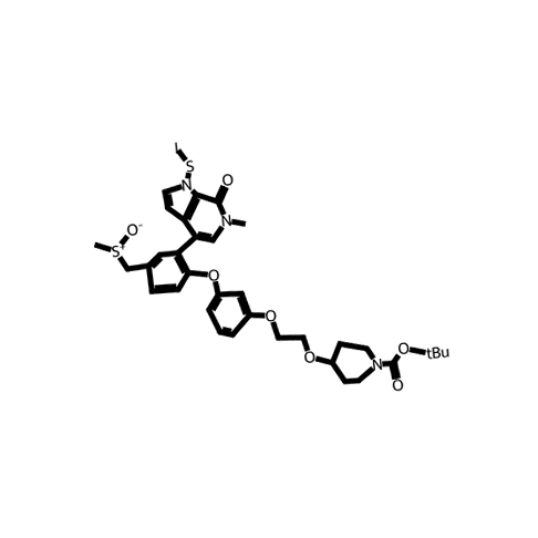 Cn1cc(-c2cc(C[S+](C)[O-])ccc2Oc2cccc(OCCOC3CCN(C(=O)OC(C)(C)C)CC3)c2)c2ccn(SI)c2c1=O